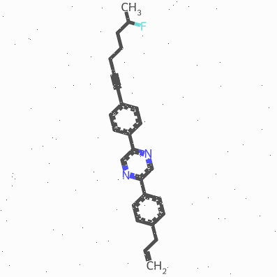 C=CCc1ccc(-c2cnc(-c3ccc(C#CCCCC(C)F)cc3)cn2)cc1